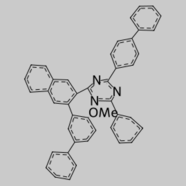 COc1ccc(-c2ccccc2)cc1-c1cc2ccccc2cc1-c1nc(-c2ccccc2)nc(-c2ccc(-c3ccccc3)cc2)n1